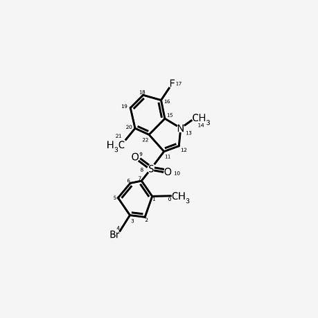 Cc1cc(Br)ccc1S(=O)(=O)c1cn(C)c2c(F)ccc(C)c12